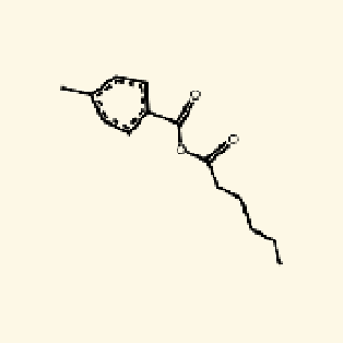 CCCCCC(=O)OC(=O)c1ccc(C)cc1